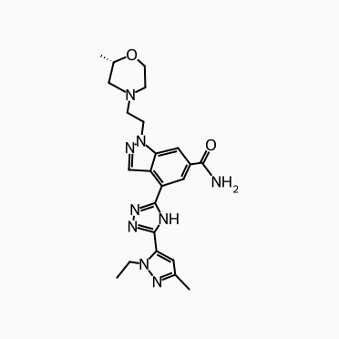 CCn1nc(C)cc1-c1nnc(-c2cc(C(N)=O)cc3c2cnn3CCN2CCO[C@@H](C)C2)[nH]1